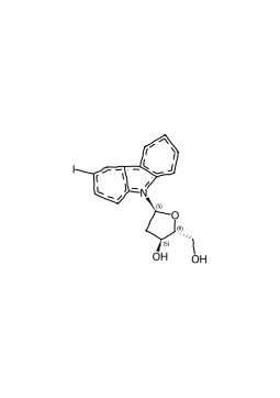 OC[C@H]1O[C@H](n2c3ccccc3c3cc(I)ccc32)C[C@@H]1O